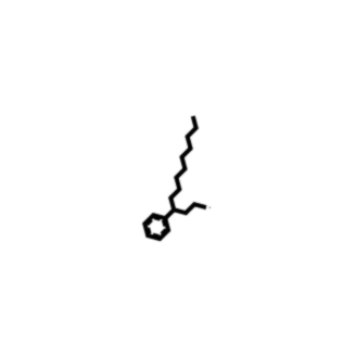 [CH2]CCC(CCCCCCCCC)c1ccccc1